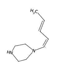 C/C=C/C=[C]\N1CCNCC1